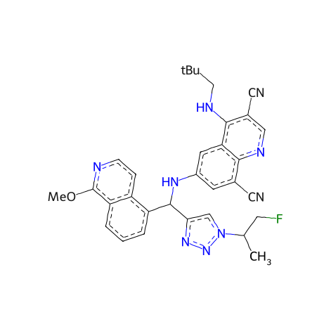 COc1nccc2c(C(Nc3cc(C#N)c4ncc(C#N)c(NCC(C)(C)C)c4c3)c3cn(C(C)CF)nn3)cccc12